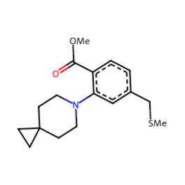 COC(=O)c1ccc(CSC)cc1N1CCC2(CC1)CC2